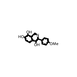 COc1ccc(-c2ncc3c(O)c(O)ccc3c2O)cc1